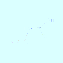 NC(=S)NP=O